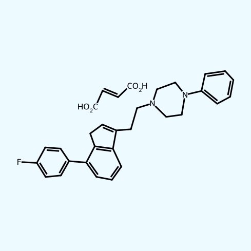 Fc1ccc(-c2cccc3c2CC=C3CCN2CCN(c3ccccc3)CC2)cc1.O=C(O)C=CC(=O)O